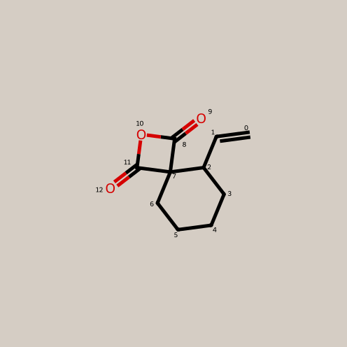 C=CC1CCCCC12C(=O)OC2=O